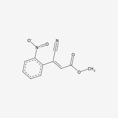 COC(=O)C=C(C#N)c1ccccc1[N+](=O)[O-]